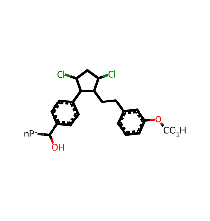 CCCC(O)c1ccc(C2C(Cl)CC(Cl)C2CCc2cccc(OC(=O)O)c2)cc1